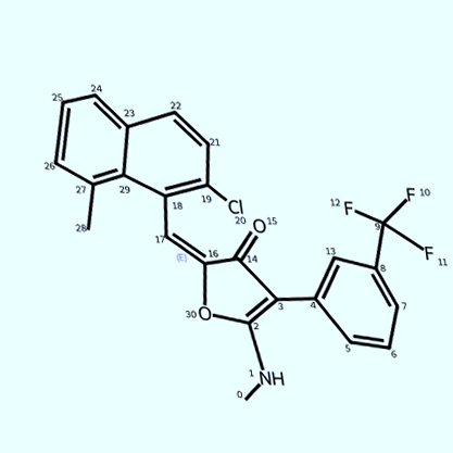 CNC1=C(c2cccc(C(F)(F)F)c2)C(=O)/C(=C\c2c(Cl)ccc3cccc(C)c23)O1